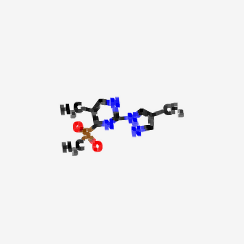 Cc1cnc(-n2cc(C(F)(F)F)cn2)nc1S(C)(=O)=O